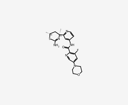 C[C@@H]1C[C@@](C)(c2cc(NC(=O)c3ncc(N4CCOCC4)cc3F)ccn2)N=C(N)S1